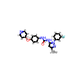 CC(C)(C)c1cc(NC(=O)Nc2ccc(Oc3ccncc3)cc2)n(-c2cccc(F)c2)n1